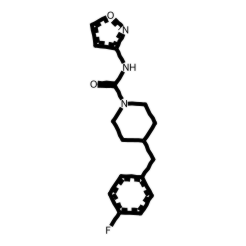 O=C(Nc1ccon1)N1CCC(Cc2ccc(F)cc2)CC1